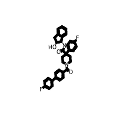 O=C(c1ccc(-c2ccc(F)cc2)cc1)N1CCC(C(=O)N[C@H]2c3ccccc3C[C@@H]2O)(c2ccc(F)cc2)CC1